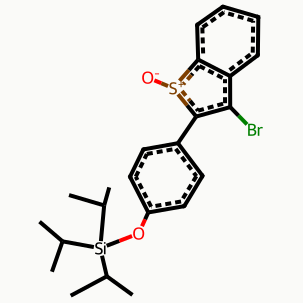 CC(C)[Si](Oc1ccc(-c2c(Br)c3ccccc3[s+]2[O-])cc1)(C(C)C)C(C)C